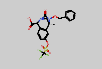 O=C(O)C1c2ccc(OS(=O)(=O)C(F)(F)F)cc2[C@H]2CN1C(=O)N2OCc1ccccc1